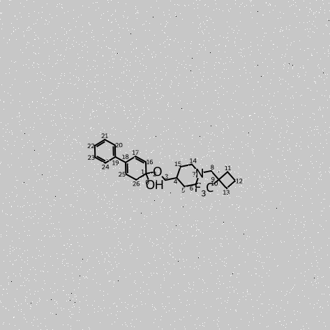 OC1(OCC2CCN(CC3(C(F)(F)F)CCC3)CC2)C=CC(c2ccccc2)=CC1